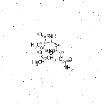 C[SiH](C)O[C@@](C)(C1C(=O)NC1SC(=O)COC(N)=O)C(C)(C)C